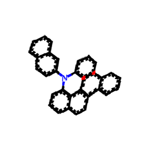 c1ccc(N(c2ccc3ccccc3c2)c2cccc3ccc4c5ccccc5ccc4c23)cc1